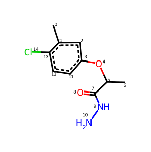 Cc1cc(OC(C)C(=O)NN)ccc1Cl